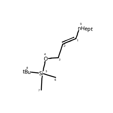 CCCCCCCC=CCO[Si](C)(C)C(C)(C)C